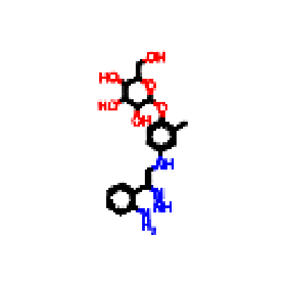 Cc1cc(N/C=C(\N=N)c2ccccc2N)ccc1OC1OC(CO)C(O)C(O)C1O